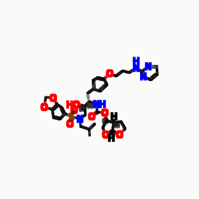 CC(C)CN(C[C@@H](O)[C@H](Cc1ccc(OCCCNc2ncccn2)cc1)NC(=O)O[C@@H]1CO[C@H]2OCC[C@H]21)S(=O)(=O)c1ccc2c(c1)OCO2